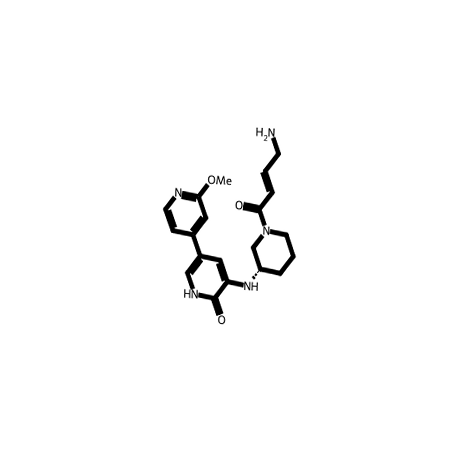 COc1cc(-c2c[nH]c(=O)c(N[C@H]3CCCN(C(=O)C=CCN)C3)c2)ccn1